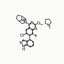 CN1CCC[C@H]1COc1nc(N2CC3CCC(C2)N3)c2cc(Cl)c(-c3cccc4[nH]ncc34)c(F)c2n1